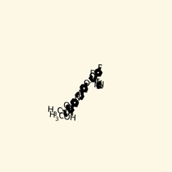 CC[C@@H]([C@H](C)O)n1ncn(-c2ccc(N3CCN(c4ccc(OC[C@@H]5CO[C@@](Cn6nccn6)(c6ccc(F)cc6F)C5)cc4)CC3)cc2)c1=O